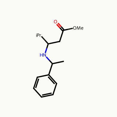 COC(=O)CC(NC(C)c1ccccc1)C(C)C